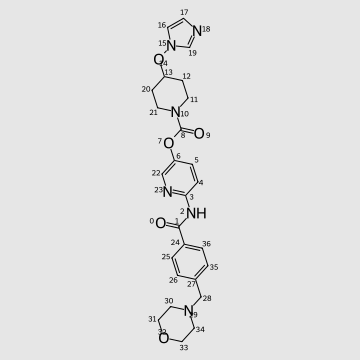 O=C(Nc1ccc(OC(=O)N2CCC(On3ccnc3)CC2)cn1)c1ccc(CN2CCOCC2)cc1